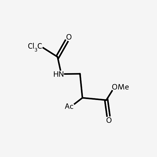 COC(=O)C(CNC(=O)C(Cl)(Cl)Cl)C(C)=O